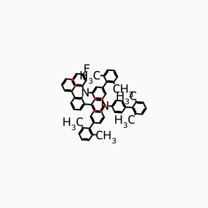 Cc1cccc(C)c1-c1ccc(N(c2ccc(-c3c(C)cccc3C)cc2)c2cc(-c3c(C)cccc3C)cc(N(c3cccc(F)c3)c3c(-c4ccccc4)cccc3-c3ccccc3)c2)cc1